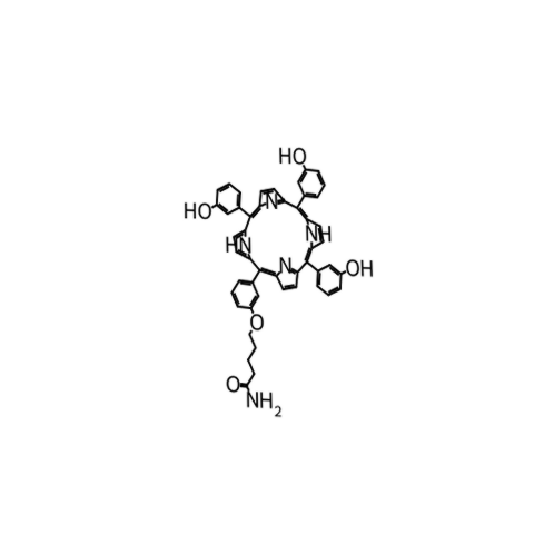 NC(=O)CCCCOc1cccc(-c2c3nc(c(-c4cccc(O)c4)c4ccc([nH]4)c(-c4cccc(O)c4)c4nc(c(-c5cccc(O)c5)c5ccc2[nH]5)C=C4)C=C3)c1